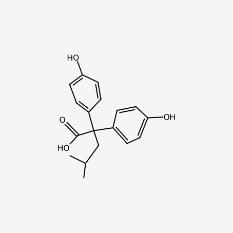 CC(C)CC(C(=O)O)(c1ccc(O)cc1)c1ccc(O)cc1